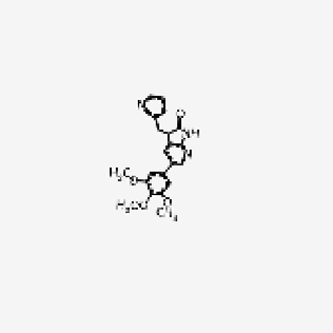 COc1cc(-c2cnc3c(c2)C(Cc2cccnc2)C(=O)N3)cc(OC)c1OC